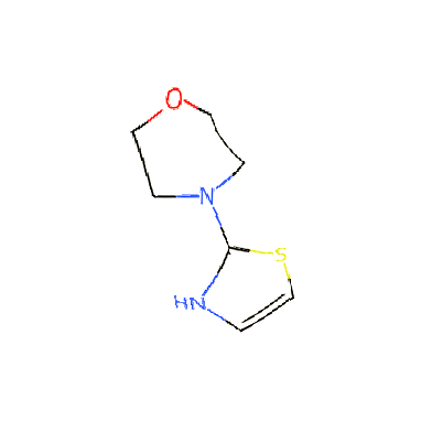 C1=CS[C](N2CCOCC2)N1